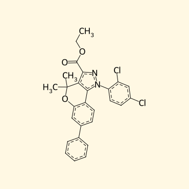 CCOC(=O)c1nn(-c2ccc(Cl)cc2Cl)c2c1C(C)(C)Oc1cc(-c3ccccc3)ccc1-2